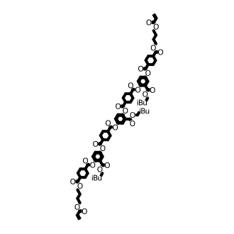 C=CC(=O)OCCCCOC(=O)C1CCC(C(=O)Oc2ccc(OC(=O)C3CCC(C(=O)Oc4ccc(OC(=O)C5CCC(C(=O)Oc6ccc(OC(=O)C7CCC(C(=O)OCCCCOC(=O)C=C)CC7)c(C(=O)OCC(C)CC)c6)CC5)cc4C(=O)OCC(C)CC)CC3)c(C(=O)OCC(C)CC)c2)CC1